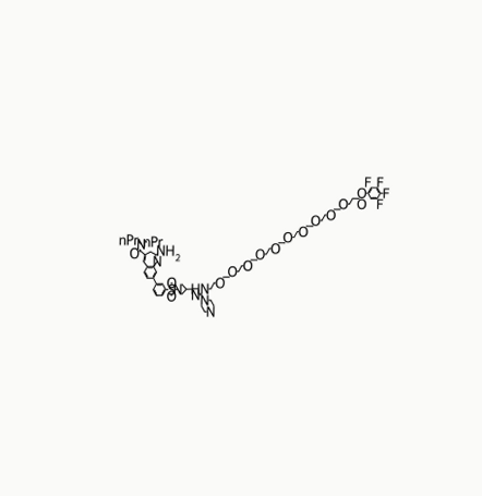 CCCN(CCC)C(=O)C1=Cc2ccc(-c3cccc(S(=O)(=O)N4CC(C/N=C(\NCCOCCOCCOCCOCCOCCOCCOCCOCCOCCOCCC(=O)Oc5cc(F)c(F)c(F)c5F)N5CCN(C)CC5)C4)c3)cc2N=C(N)C1